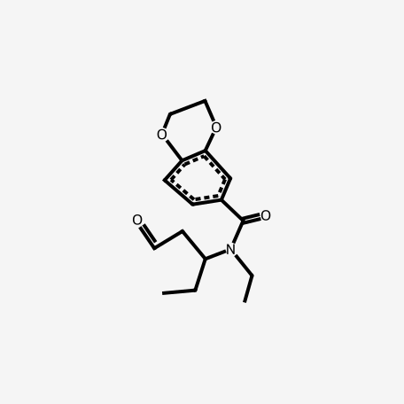 CCC(CC=O)N(CC)C(=O)c1ccc2c(c1)OCCO2